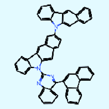 c1ccc2cc3c(cc2c1)c1ccccc1n3-c1ccc2cc3c(cc2c1)c1ccccc1n3-c1nc(-c2cc3ccccc3c3ccccc23)c2ccccc2n1